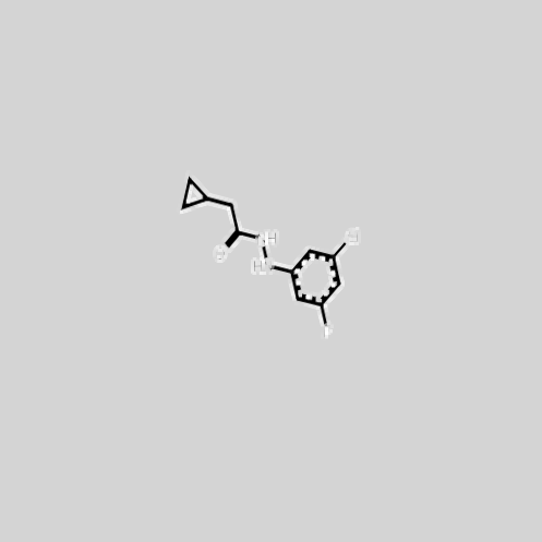 O=C(CC1CC1)NNc1cc(F)cc(Cl)c1